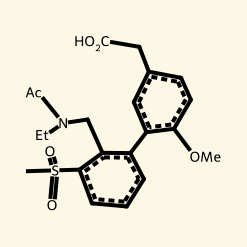 CCN(Cc1c(-c2cc(CC(=O)O)ccc2OC)cccc1S(C)(=O)=O)C(C)=O